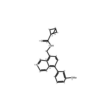 COc1cccc(-c2ccc(CNC(=O)C34CC(C3)C4)c3cnccc23)c1